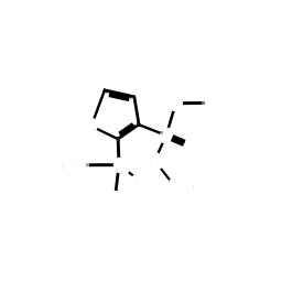 CCCCOP(=O)(OCCCC)c1ccs[c]1[Sn]([CH2]CCC)([CH2]CCC)[CH2]CCC